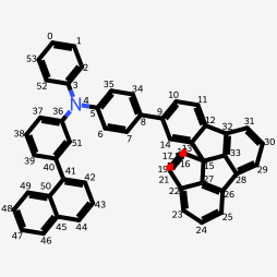 c1ccc(N(c2ccc(-c3ccc4c(c3)C35c6ccccc6-c6cccc(c63)-c3cccc-4c35)cc2)c2cccc(-c3cccc4ccccc34)c2)cc1